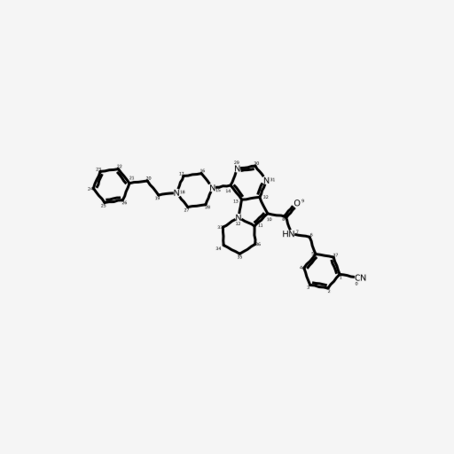 N#Cc1cccc(CNC(=O)c2c3n(c4c(N5CCN(CCc6ccccc6)CC5)ncnc24)CCCC3)c1